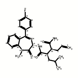 C=CC[C@H](C(N)=O)[C@@H](CC(C)C)C(=O)N[C@H]1N=C(c2ccc(F)cc2)c2ccccc2N(C)C1=O